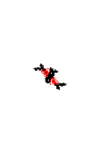 CCCCC(CC)COC(=O)Oc1c2ccccc2c(OC(=O)OCC(CC)CCCC)c2cc(CC)c(CC)cc12